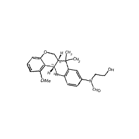 COc1cccc2c1[C@H]1Nc3ccc(N(C=O)CCO)cc3C(C)(C)[C@H]1CO2